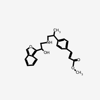 COC(=O)C=Cc1ccc(C(C)CNCC(O)c2occ3ccccc23)cc1